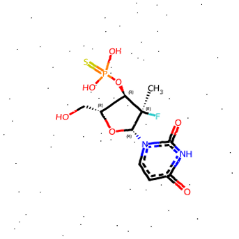 C[C@@]1(F)[C@H](OP(O)(O)=S)[C@@H](CO)O[C@H]1n1ccc(=O)[nH]c1=O